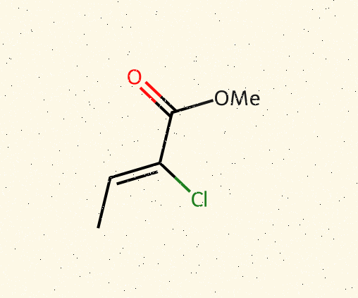 C/C=C(\Cl)C(=O)OC